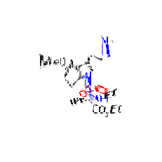 CCOC(=O)C(NP(=O)(OCC)n1cc(CCN(C)C)c2cc(OC)ccc21)C(C)C